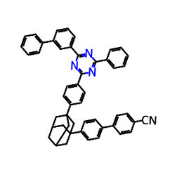 N#Cc1ccc(-c2ccc(C34CC5CC(C3)CC(c3ccc(-c6nc(-c7ccccc7)nc(-c7cccc(-c8ccccc8)c7)n6)cc3)(C5)C4)cc2)cc1